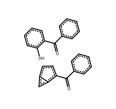 O=C(c1ccccc1)c1ccc2cc1-2.O=C(c1ccccc1)c1ccccc1O